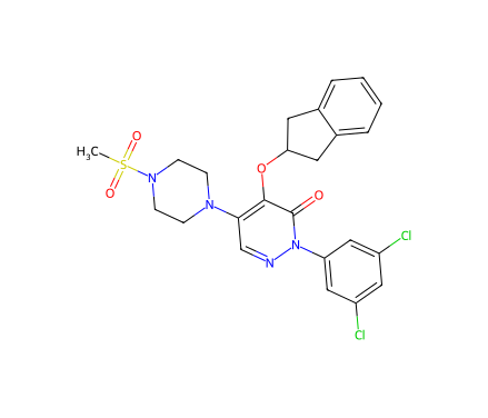 CS(=O)(=O)N1CCN(c2cnn(-c3cc(Cl)cc(Cl)c3)c(=O)c2OC2Cc3ccccc3C2)CC1